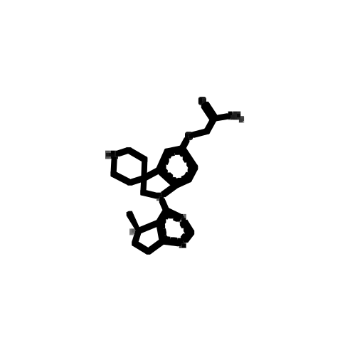 C[C@@H]1CCc2ncnc(N3CC4(CCNCC4)c4cc(OCC(N)=O)ccc43)c21